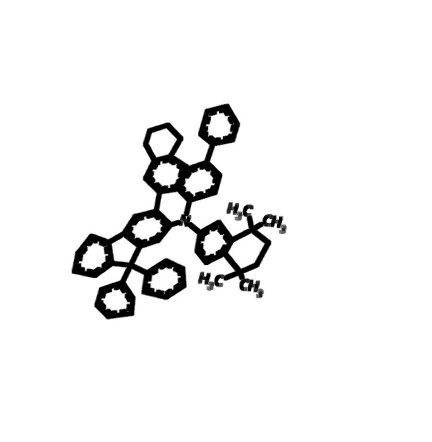 CC1(C)CCC(C)(C)c2cc(N(c3ccc(-c4ccccc4)cc3)c3cc4c(cc3-c3ccc5c(c3)CCCC5)-c3ccccc3C4(c3ccccc3)c3ccccc3)ccc21